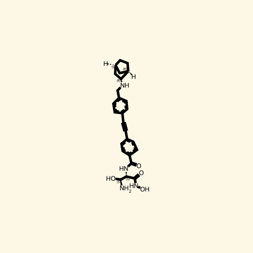 N[C@@H](O)[C@H](NC(=O)c1ccc(C#Cc2ccc(CN[C@@H]3C[C@H]4CC[C@@H]3C4)cc2)cc1)C(=O)NO